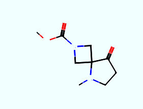 CN1CCC(=O)C12CN(C(=O)OC(C)(C)C)C2